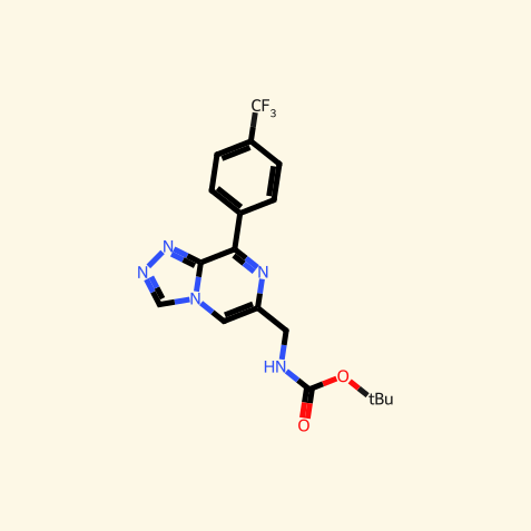 CC(C)(C)OC(=O)NCc1cn2cnnc2c(-c2ccc(C(F)(F)F)cc2)n1